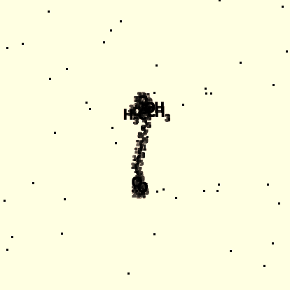 CC(C)(CCCCCCCCCCCCCCC#CCOC1CCCCO1)[Si](O)(c1ccccc1)c1ccccc1